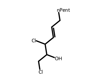 CCCCCCC=CC(Cl)C(O)CCl